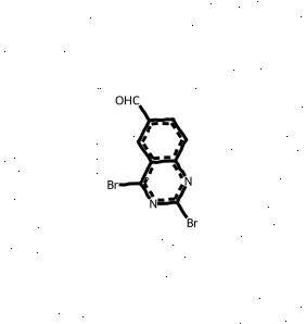 O=Cc1ccc2nc(Br)nc(Br)c2c1